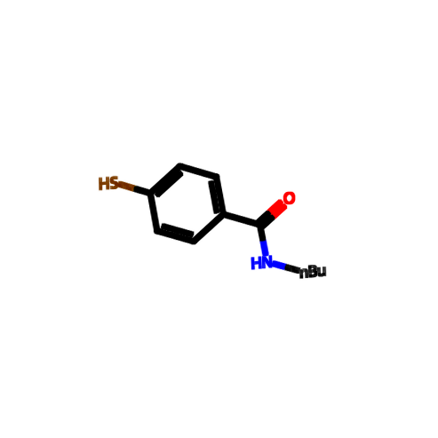 CCCCNC(=O)c1ccc(S)cc1